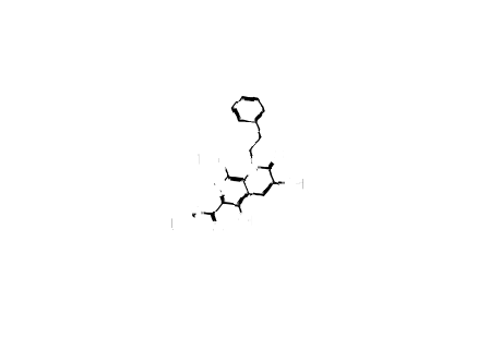 COC(=O)c1nc(C)c2c(cc(C)c(=O)n2CCc2ccccc2)c1O